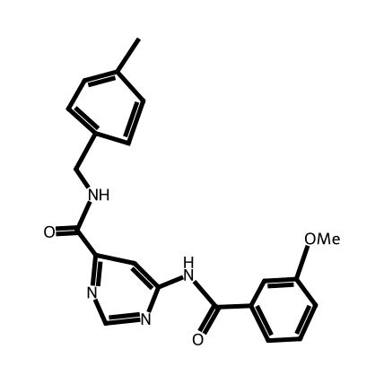 COc1cccc(C(=O)Nc2cc(C(=O)NCc3ccc(C)cc3)ncn2)c1